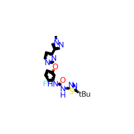 Cn1cc(-c2ccnc(Oc3ccc(F)c(NC(=O)Nc4nnc(C(C)(C)C)s4)c3)n2)cn1